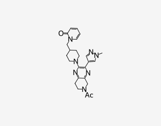 CC(=O)N1CCc2nc(N3CCC(Cn4ccccc4=O)CC3)c(-c3cnn(C)c3)nc2C1